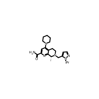 CC(C)n1nccc1CN1CCc2c(N3CCCCC3)cc(C(N)=O)nc2[C@H]1C